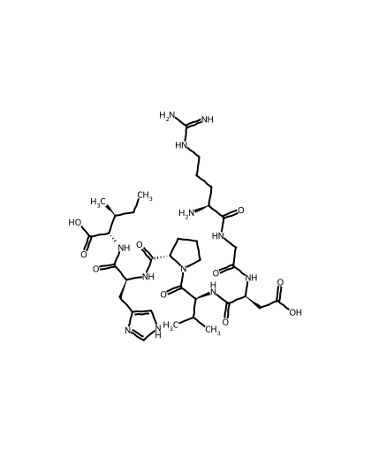 CC[C@H](C)[C@H](NC(=O)[C@H](Cc1c[nH]cn1)NC(=O)[C@@H]1CCCN1C(=O)[C@@H](NC(=O)[C@H](CC(=O)O)NC(=O)CNC(=O)[C@@H](N)CCCNC(=N)N)C(C)C)C(=O)O